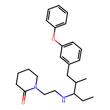 CCC(NCCN1CCCCC1=O)C(C)Cc1cccc(Oc2ccccc2)c1